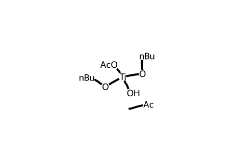 CC(C)=O.CCCC[O][Ti]([OH])([O]CCCC)[O]C(C)=O